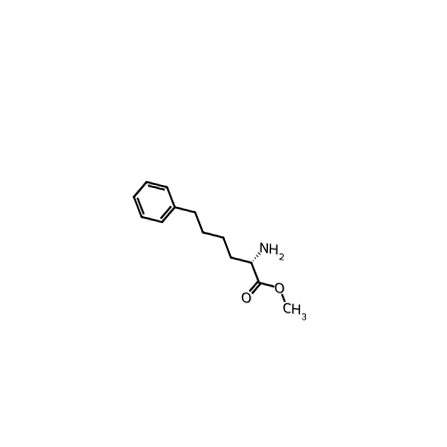 COC(=O)[C@@H](N)CCCCc1ccccc1